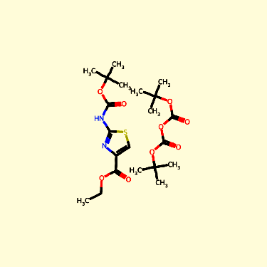 CC(C)(C)OC(=O)OC(=O)OC(C)(C)C.CCOC(=O)c1csc(NC(=O)OC(C)(C)C)n1